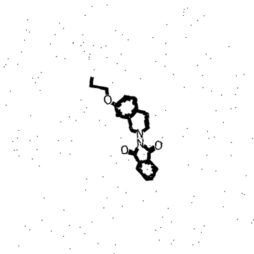 CCCOc1ccc2c(c1)CN(N1C(=O)c3ccccc3C1=O)C=C2